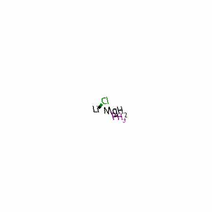 P.[Li][Cl].[MgH2]